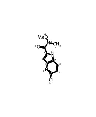 CON(C)C(=O)c1cc2nc(Cl)ccc2[nH]1